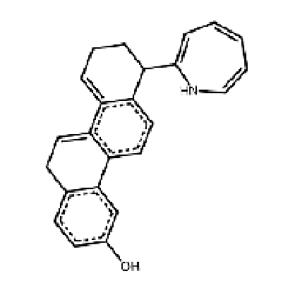 Oc1ccc2c(c1)-c1ccc3c(c1=CC2)=CCCC3C1=CC=CC=CN1